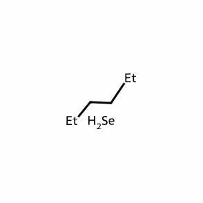 CCCCCC.[SeH2]